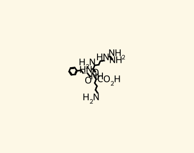 N=C(N)NCCC[C@H](N)C(=O)N[C@@H](CCc1ccccc1)C(=O)N[C@@H](CCCCN)C(=O)O